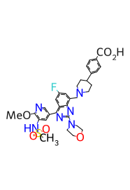 COc1ncc(-c2nc(N3CCOCC3)nc3c(CN4CCC(c5ccc(C(=O)O)cc5)CC4)cc(F)cc23)cc1NS(C)(=O)=O